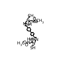 CCCN(Cc1ncc(-c2ccc(-c3ccc(-c4cnc(CN(CCS)C(=O)CNC(=O)OC)[nH]4)cc3)cc2)[nH]1)C(=O)CNC(=O)OC